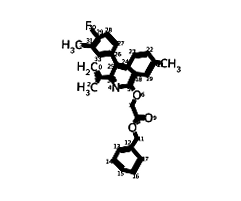 C=C(C)c1nc(OCC(=O)OCc2ccccc2)c2cc(C)ccc2c1-c1ccc(F)c(C)c1